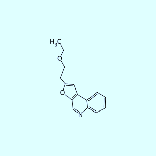 CCOCCc1cc2c(cnc3ccccc32)o1